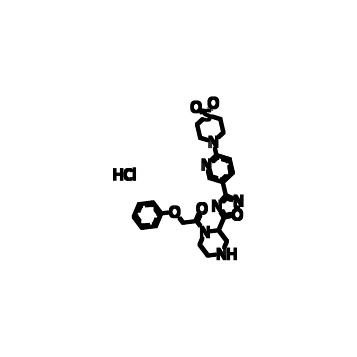 Cl.O=C(COc1ccccc1)N1CCNCC1c1nc(-c2ccc(N3CCS(=O)(=O)CC3)nc2)no1